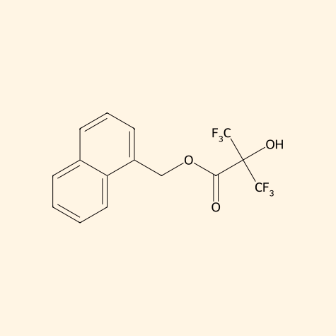 O=C(OCc1cccc2ccccc12)C(O)(C(F)(F)F)C(F)(F)F